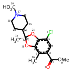 COC(=O)c1cc(Cl)c2c(c1C)O[C@@](C)(C1CCN(C(=O)O)CC1)O2